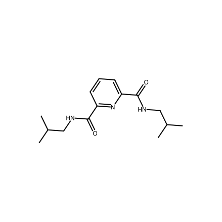 CC(C)CNC(=O)c1cccc(C(=O)NCC(C)C)n1